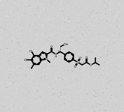 Cc1cc2c(cc(C(=O)N[C@H](CO)c3ccc(S(=O)(=O)CC(=O)OC(C)C)cc3)n2C)c(Cl)c1Cl